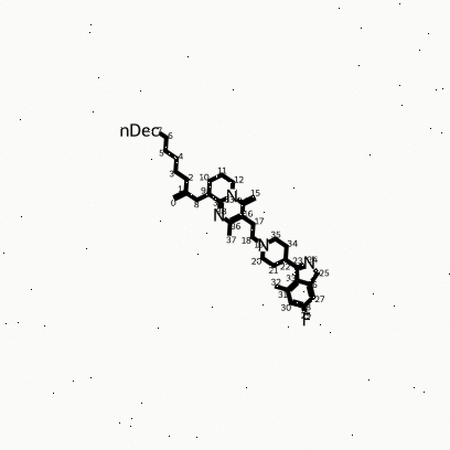 C=C(CCCCCCCCCCCCCCC)CC1CCCN2C(=C)C(CCN3CCC(C4=NCc5cc(F)cc(C)c54)CC3)=C(C)N=C12